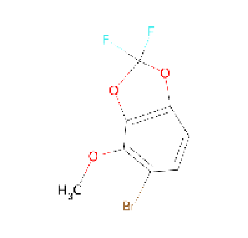 COc1c(Br)ccc2c1OC(F)(F)O2